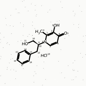 Cc1c(O)c(=O)ccn1[C@H](CO)Cc1ccccc1.Cl